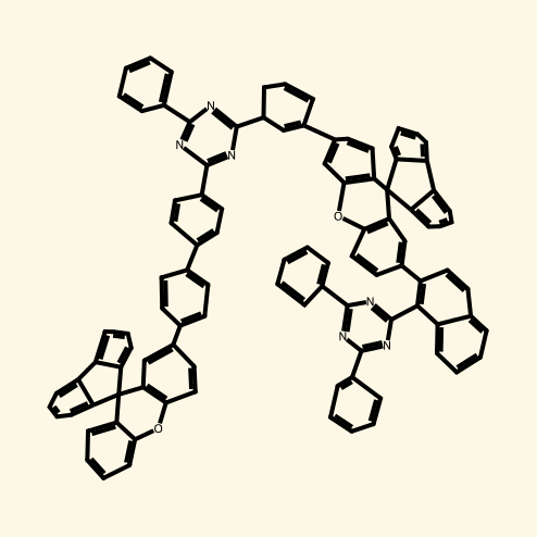 C1=CC(c2ccc3c(c2)Oc2ccc(-c4ccc5ccccc5c4-c4nc(-c5ccccc5)nc(-c5ccccc5)n4)cc2C32c3ccccc3-c3ccccc32)=CC(c2nc(-c3ccccc3)nc(-c3ccc(-c4ccc(-c5ccc6c(c5)C5(c7ccccc7O6)c6ccccc6-c6ccccc65)cc4)cc3)n2)C1